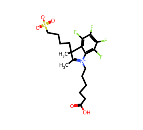 CC1=[N+](CCCCCC(=O)O)c2c(F)c(F)c(F)c(F)c2C1(C)CCCCS(=O)(=O)[O-]